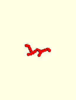 c1ccc(-c2ccc3c(c2)c2cc(-c4cccc(-c5ccc(-c6ccc7c8ccc(-c9ccccc9)cc8n(-c8ccc(-c9ccc(-c%10ccc%11sc%12ccccc%12c%11c%10)cc9)cc8)c7c6)cc5)c4)ccc2n3-c2ccc(-c3ccc(-c4ccc5sc6ccccc6c5c4)cc3)cc2)cc1